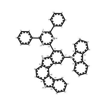 c1ccc(-c2nc(-c3ccccc3)nc(-c3cc(-n4c5ccccc5c5ccccc54)cc4c3sc3ccc5sc6ccccc6c5c34)n2)cc1